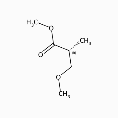 COC[C@@H](C)C(=O)OC